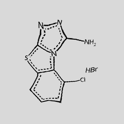 Br.Nc1nnc2sc3cccc(Cl)c3n12